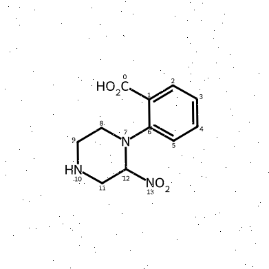 O=C(O)c1ccccc1N1CCNCC1[N+](=O)[O-]